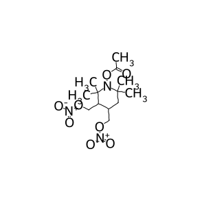 CC(=O)ON1C(C)(C)CC(CO[N+](=O)[O-])C(CO[N+](=O)[O-])C1(C)C